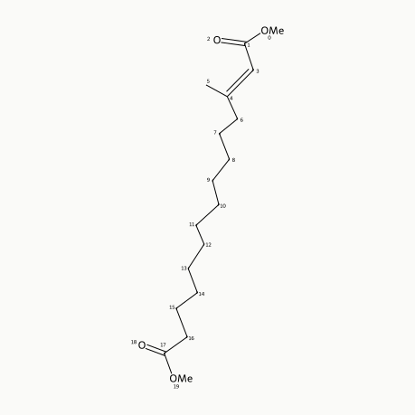 COC(=O)/C=C(\C)CCCCCCCCCCCC(=O)OC